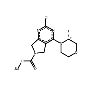 C[C@@H]1COCCN1c1nc(Cl)nc2c1CN(C(=O)OC(C)(C)C)C2